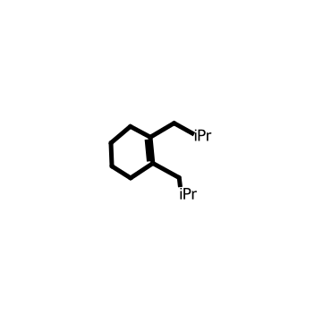 CC(C)CC1=C(CC(C)C)CCCC1